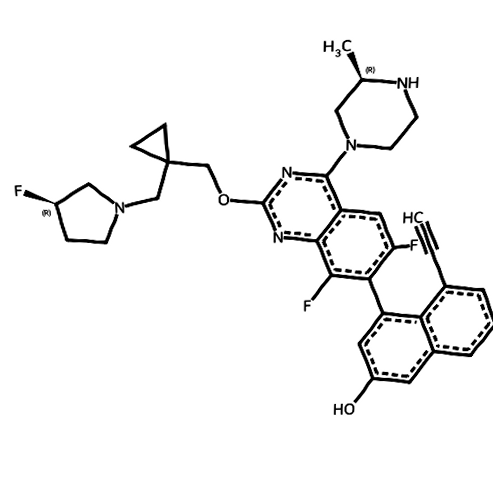 C#Cc1cccc2cc(O)cc(-c3c(F)cc4c(N5CCN[C@H](C)C5)nc(OCC5(CN6CC[C@@H](F)C6)CC5)nc4c3F)c12